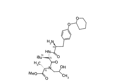 CC[C@H](C)[C@H](NC(=O)[C@@H](N)Cc1ccc(OC2CCCCO2)cc1)C(=O)N(CC(C)O)[C@@H](C)C(=O)OC